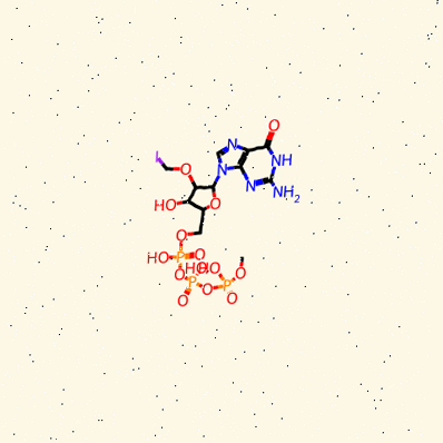 COP(=O)(O)OP(=O)(O)OP(=O)(O)OCC1OC(n2cnc3c(=O)[nH]c(N)nc32)C(OCI)C1O